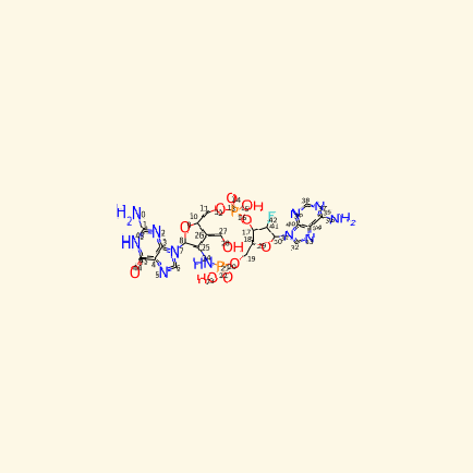 Nc1nc2c(ncn2C2OC3COP(=O)(O)OC4C(COP(=O)(O)NC2C3CO)OC(n2cnc3c(N)ncnc32)C4F)c(=O)[nH]1